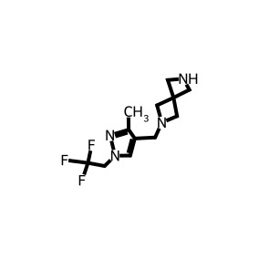 Cc1nn(CC(F)(F)F)cc1CN1CC2(CNC2)C1